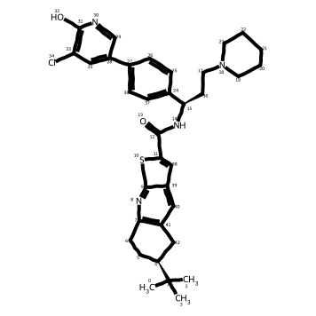 CC(C)(C)[C@H]1CCc2nc3sc(C(=O)N[C@H](CCN4CCCCC4)c4ccc(-c5cnc(O)c(Cl)c5)cc4)cc3cc2C1